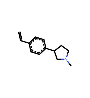 C=Cc1ccc(C2CCN(C)C2)cc1